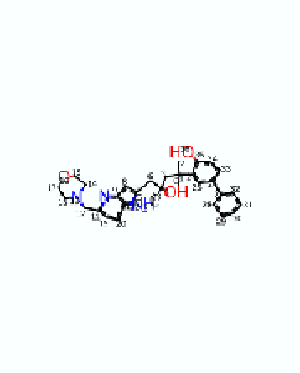 CC(C)(CC(O)(Cc1cc2nc(CN3CCOCC3)ccc2[nH]1)C(F)(F)F)c1cc(-c2ccccc2)ccc1O